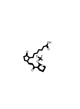 O=C(O)CCCCCCC1C(=O)CCC1/C=C/C(=O)c1ccccc1OC(F)(F)F